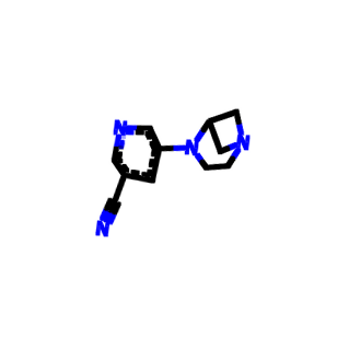 N#Cc1cncc(N2CCN3CC2C3)c1